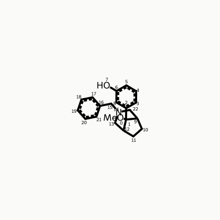 COC1(c2cccc(O)c2)C2CCC1CN(Cc1ccccc1)C2